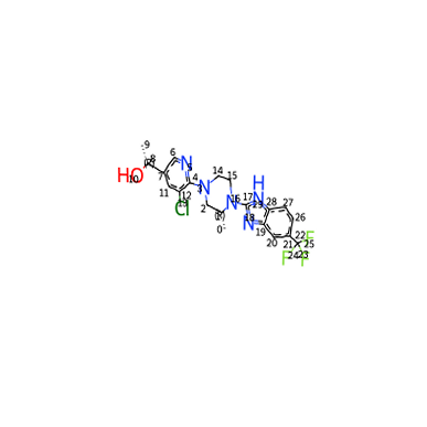 C[C@@H]1CN(c2ncc([C@@H](C)O)cc2Cl)CCN1c1nc2cc(C(F)(F)F)ccc2[nH]1